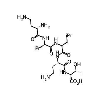 CC(C)C[C@H](NC(=O)[C@H](NC(=O)[C@@H](N)CCN)C(C)C)C(=O)N[C@@H](CCN)C(=O)N[C@H](C(=O)O)[C@@H](C)O